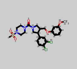 CS(=O)(=O)N1CCN(C(=O)N2CC(COc3cccc(OC(F)(F)F)c3)C(c3ccc(Cl)c(Cl)c3)C2)CC1